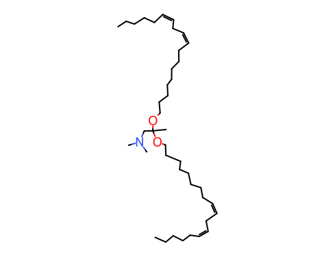 CCCCC/C=C\C/C=C\CCCCCCCCOC(C)(CN(C)C)OCCCCCCCC/C=C\C/C=C\CCCCC